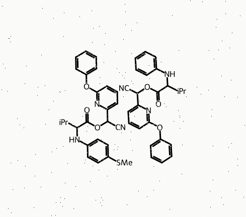 CC(C)C(Nc1ccccc1)C(=O)OC(C#N)c1cccc(Oc2ccccc2)n1.CSc1ccc(NC(C(=O)OC(C#N)c2cccc(Oc3ccccc3)n2)C(C)C)cc1